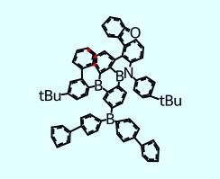 Cc1cc2c3c(c1)-c1c(ccc4oc5ccccc5c14)N(c1ccc(C(C)(C)C)cc1)B3c1ccc(B(c3ccc(-c4ccccc4)cc3)c3ccc(-c4ccccc4)cc3)cc1B2c1ccc(C(C)(C)C)cc1-c1ccccc1